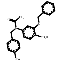 CC(C)(C)c1ccc(CN(C(=O)C(F)(F)F)c2ccc(C(=O)O)c(OCc3ccccc3)c2)cc1